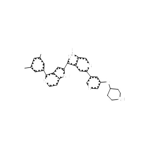 Cc1cc(F)cc(-c2nccc3[nH]c(-c4n[nH]c5cnc(-c6cncc(OC7CCNCC7)c6)cc45)cc23)c1